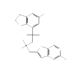 Cc1cc2cc(CC(C)(O)CC(C)(c3cc(Cl)cc4c3OCC4)C(F)(F)F)[nH]c2cn1